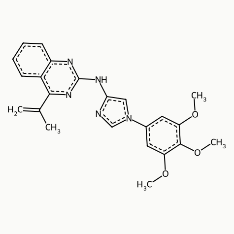 C=C(C)c1nc(Nc2cn(-c3cc(OC)c(OC)c(OC)c3)cn2)nc2ccccc12